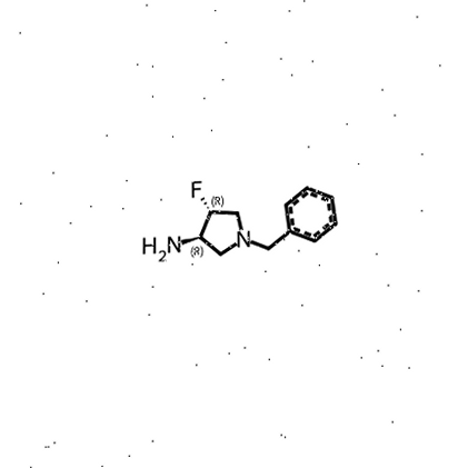 N[C@@H]1CN(Cc2ccccc2)C[C@H]1F